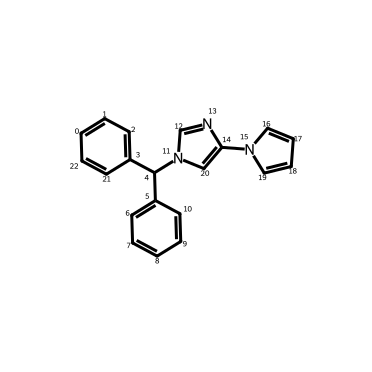 c1ccc(C(c2ccccc2)n2cnc(-n3cccc3)c2)cc1